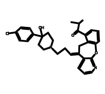 CC(C)C(=O)c1cccc2c1CC(=CCCN1CCC(O)(c3ccc(Cl)cc3)CC1)c1cccnc1O2